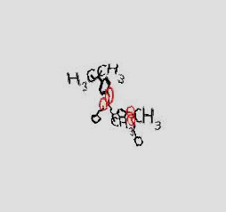 CCC(C)c1ccc(OC(CCC(CC)c2ccc(OC(C)OCCC3CCCCC3)cc2)OCCc2ccccc2)cc1